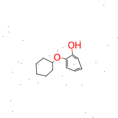 Oc1ccccc1OC1CCCCC1